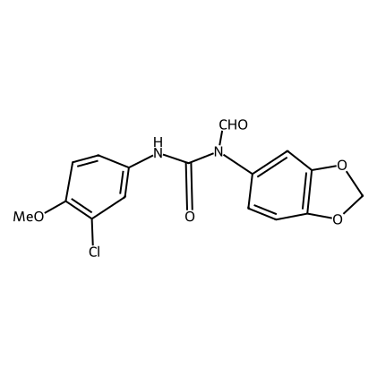 COc1ccc(NC(=O)N(C=O)c2ccc3c(c2)OCO3)cc1Cl